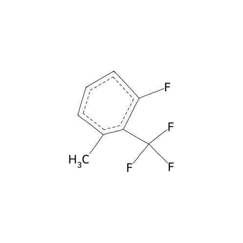 Cc1cccc(F)c1C(F)(F)F